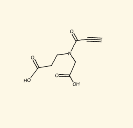 C#CC(=O)N(CCC(=O)O)CC(=O)O